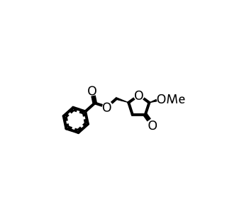 CO[C@@H]1O[C@H](COC(=O)c2ccccc2)CC1=O